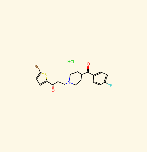 Cl.O=C(CCN1CCC(C(=O)c2ccc(F)cc2)CC1)c1ccc(Br)s1